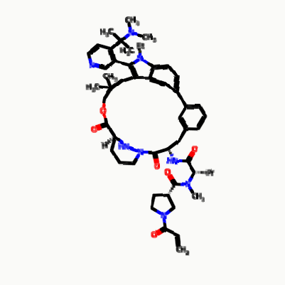 C=CC(=O)N1CC[C@H](C(=O)N(C)[C@H](C(=O)N[C@H]2Cc3cccc(c3)-c3ccc4c(c3)c(c(-c3cnccc3C(C)(C)N(C)C)n4CC)CC(C)(C)COC(=O)[C@@H]3CCCN(N3)C2=O)C(C)C)C1